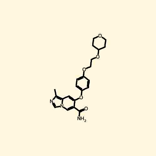 Cc1ncn2cc(C(N)=O)c(Oc3ccc(OCCOC4CCOCC4)cc3)cc12